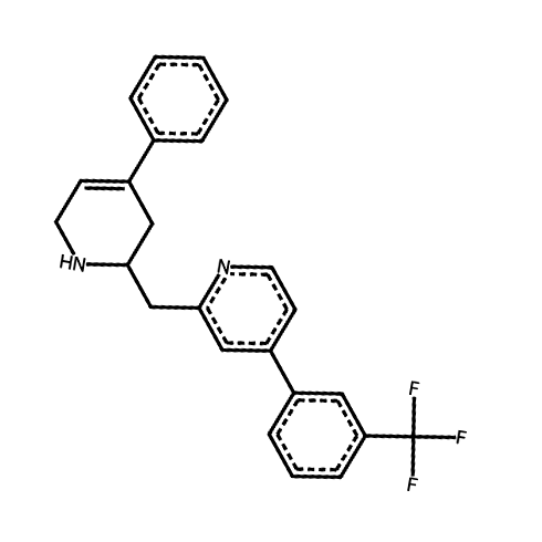 FC(F)(F)c1cccc(-c2ccnc(CC3CC(c4ccccc4)=CCN3)c2)c1